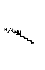 CCCCCCCCC[CH2][AlH][O][AlH2]